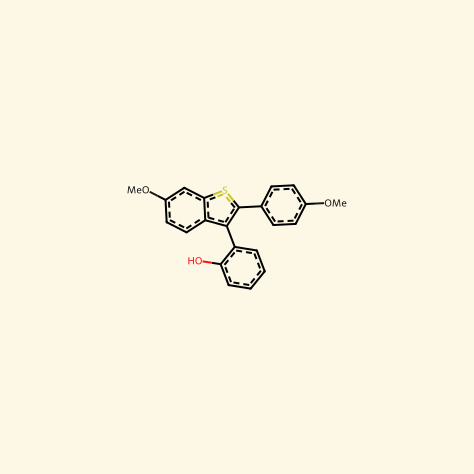 COc1ccc(-c2sc3cc(OC)ccc3c2-c2ccccc2O)cc1